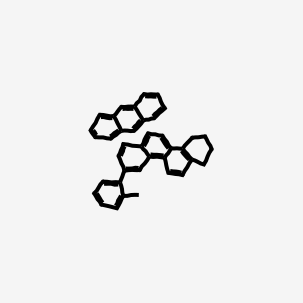 Cc1ccccc1-c1ccc2ccc3c4c(ccc3c2c1)CCCC4.c1ccc2cc3ccccc3cc2c1